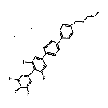 C/C=C/CCc1ccc(-c2ccc(-c3cc(F)c(-c4cc(F)c(F)c(F)c4)c(F)c3)cc2)cc1